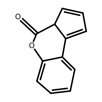 O=C1Oc2ccccc2C2=CC=CC12